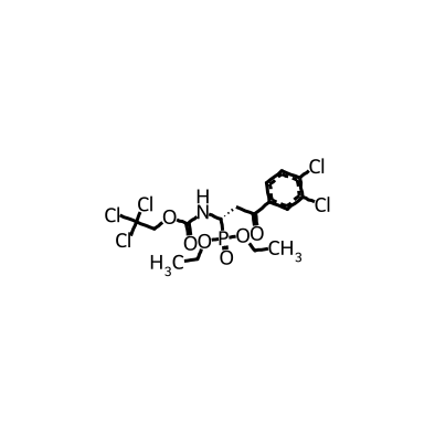 CCOP(=O)(OCC)[C@@H](CC(=O)c1ccc(Cl)c(Cl)c1)NC(=O)OCC(Cl)(Cl)Cl